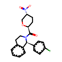 O=C([C@@H]1CC[C@@H]([N+](=O)[O-])CO1)N1CCc2ccccc2[C@@H]1c1ccc(F)cc1